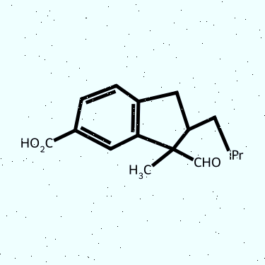 CC(C)CC1Cc2ccc(C(=O)O)cc2C1(C)C=O